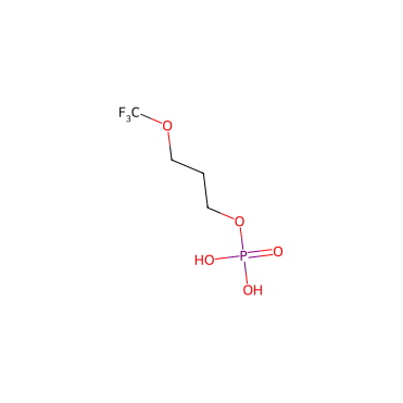 O=P(O)(O)OCCCOC(F)(F)F